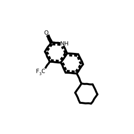 O=c1cc(C(F)(F)F)c2cc(C3CCCCC3)ccc2[nH]1